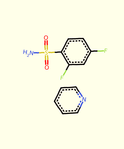 NS(=O)(=O)c1ccc(F)cc1F.c1ccncc1